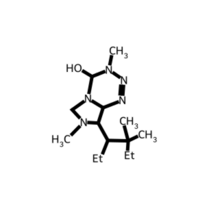 CCC(C1C2N=NN(C)C(O)N2CN1C)C(C)(C)CC